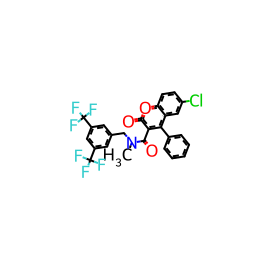 CN(Cc1cc(C(F)(F)F)cc(C(F)(F)F)c1)C(=O)c1c(-c2ccccc2)c2cc(Cl)ccc2oc1=O